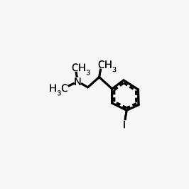 CC(CN(C)C)c1cccc(I)c1